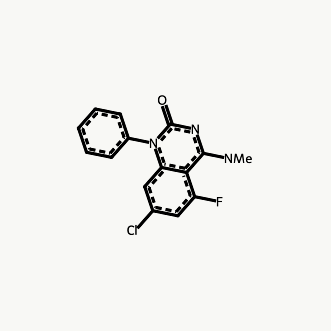 CNc1nc(=O)n(-c2ccccc2)c2cc(Cl)cc(F)c12